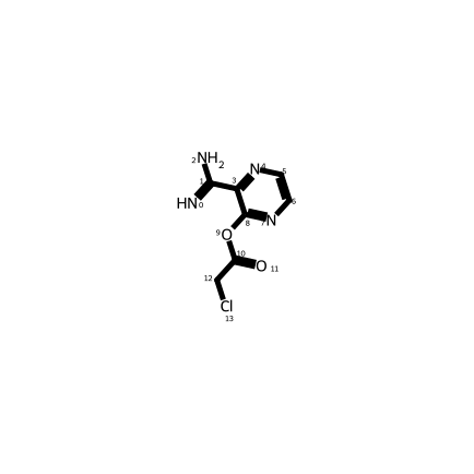 N=C(N)c1nccnc1OC(=O)CCl